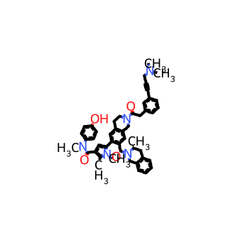 Cc1c(C(=O)N(C)c2ccc(O)cc2)cc(-c2cc3c(cc2C(=O)N2Cc4ccccc4C[C@H]2C)CN(C(=O)Cc2cccc(C#CCN(C)C)c2)CC3)n1C